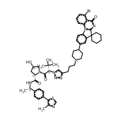 Cc1ncsc1-c1ccc([C@H](C)NC(=O)[C@@H]2C[C@@H](O)CN2C(=O)[C@@H](n2cc(CCCN3CCC(c4ccc5c(c4)C4(CCCCC4)c4nc(=O)c6c(Br)cccc6n4-5)CC3)nn2)C(C)(C)C)cc1